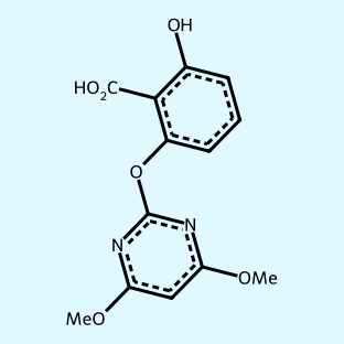 COc1cc(OC)nc(Oc2cccc(O)c2C(=O)O)n1